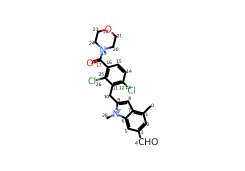 Cc1cc(C=O)cc2c1cc(Cc1c(Cl)ccc(C(=O)N3CCOCC3)c1Cl)n2C